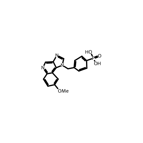 COc1ccc2ncc3ncn(Cc4ccc(P(=O)(O)O)cc4)c3c2c1